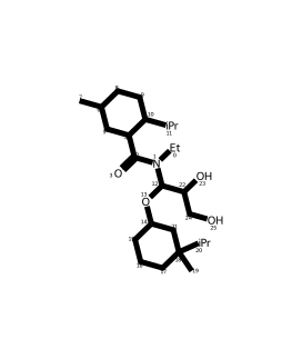 CCN(C(=O)C1CC(C)CCC1C(C)C)C(OC1CCCC(C)(C(C)C)C1)C(O)CO